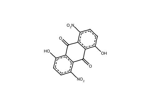 O=C1c2c(O)ccc([N+](=O)[O-])c2C(=O)c2c(O)ccc([N+](=O)[O-])c21